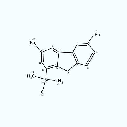 CC(C)(C)c1ccc2c(c1)-c1cc(C(C)(C)C)cc([Si](C)(C)Cl)c1C2